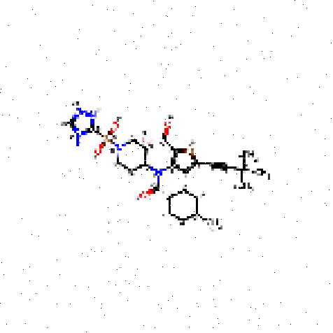 CC(C)(C)C#Cc1cc(N(C(=O)[C@H]2CC[C@H](C)CC2)C2CCN(S(=O)(=O)c3nnc[nH]3)CC2)c(C(=O)O)s1